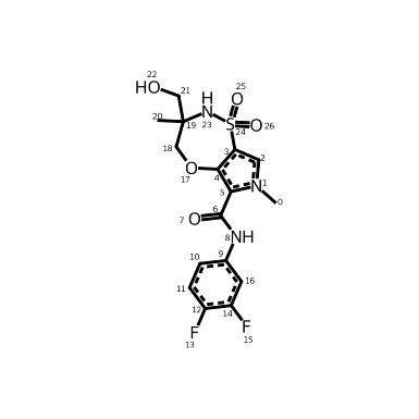 Cn1cc2c(c1C(=O)Nc1ccc(F)c(F)c1)OCC(C)(CO)NS2(=O)=O